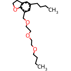 CCCCOCCOCCOCc1cc(CCCC)cc2c1OCC2